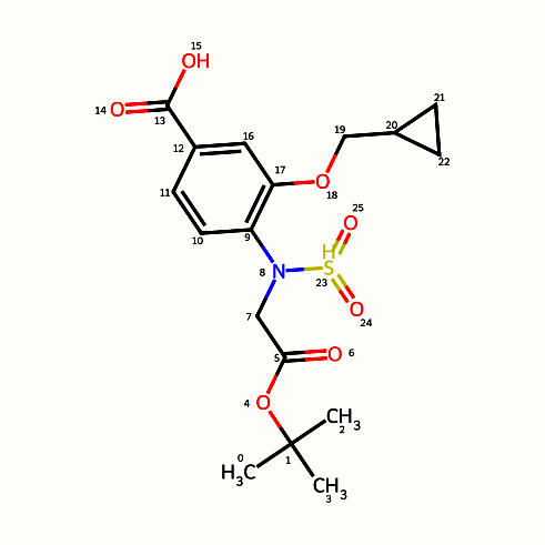 CC(C)(C)OC(=O)CN(c1ccc(C(=O)O)cc1OCC1CC1)[SH](=O)=O